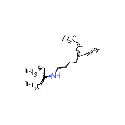 C=C=C(CCCCNC(=C)C)C(C)C